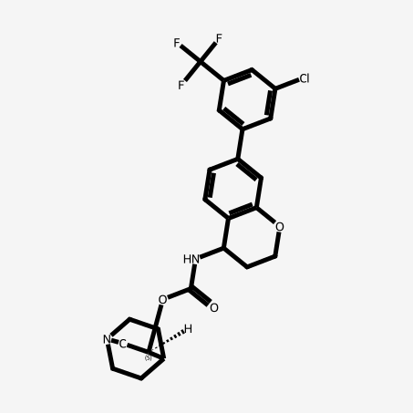 O=C(NC1CCOc2cc(-c3cc(Cl)cc(C(F)(F)F)c3)ccc21)O[C@@H]1CN2CCC1CC2